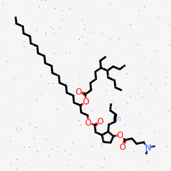 CC/C=C\CC1C(CC(=O)OCCC(CCCCCCCCCCCCCCCCCC)OC(=O)CCCCC(CC)C(CCC)CCCC)CCC1OC(=O)CCCN(C)C